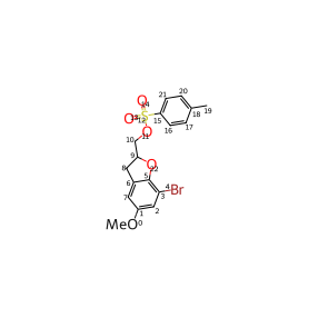 COc1cc(Br)c2c(c1)CC(COS(=O)(=O)c1ccc(C)cc1)O2